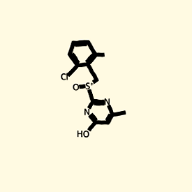 Cc1cc(O)nc([S+]([O-])Cc2c(C)cccc2Cl)n1